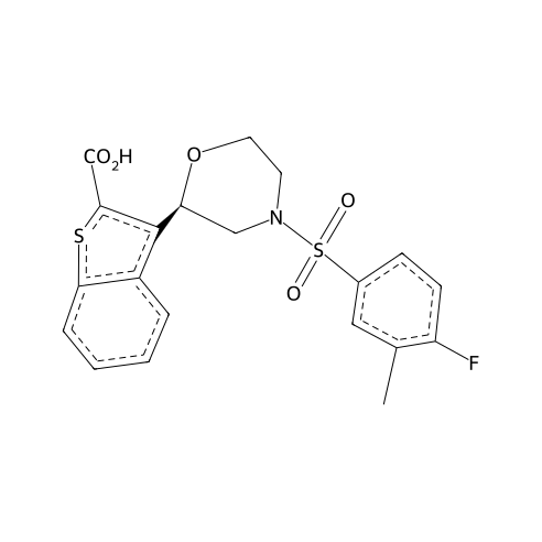 Cc1cc(S(=O)(=O)N2CCO[C@H](c3c(C(=O)O)sc4ccccc34)C2)ccc1F